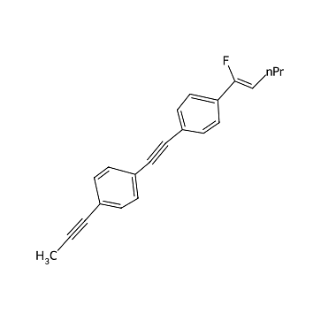 CC#Cc1ccc(C#Cc2ccc(C(F)=CCCC)cc2)cc1